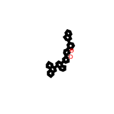 C1=CC2Oc3c(ccc4c3oc3ccc(-c5ccc(-c6cc7ccccc7c7ccccc67)c6ccccc56)cc34)C2C=C1c1ccc2ccccc2c1